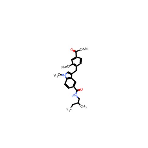 COC(=O)c1ccc(Cc2cn(C)c3ccc(C(=O)NCC(C)CC(F)(F)F)cc23)c(OC)c1